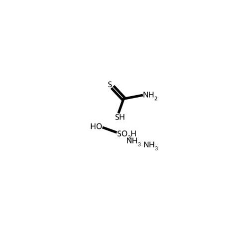 N.N.NC(=S)S.O=S(=O)(O)O